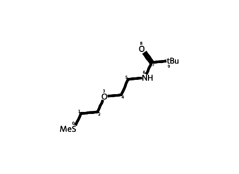 CSCCOCCNC(=O)C(C)(C)C